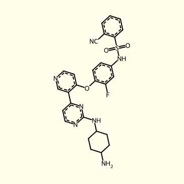 N#Cc1ccccc1S(=O)(=O)Nc1ccc(Oc2ccncc2-c2ccnc(NC3CCC(N)CC3)n2)c(F)c1